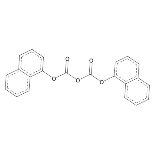 O=C(OC(=O)Oc1cccc2ccccc12)Oc1cccc2ccccc12